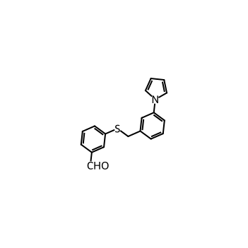 O=Cc1cccc(SCc2cccc(-n3cccc3)c2)c1